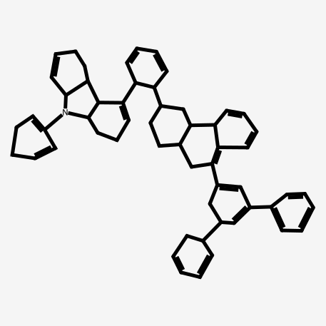 C1=CCC(C2C=C(c3ccccc3)C=C(C3=C4C=CC=CC4C4CC(C5C=CC=CC5C5=CCCC6C5C5CCC=CC5N6C5=CCCC=C5)CCC4C3)C2)C=C1